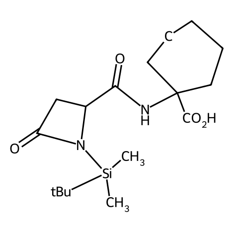 CC(C)(C)[Si](C)(C)N1C(=O)CC1C(=O)NC1(C(=O)O)CCCCC1